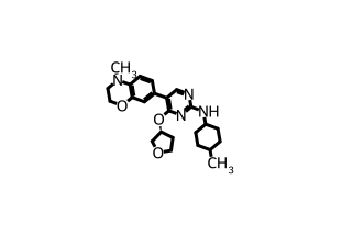 CC1CCC(Nc2ncc(-c3ccc4c(c3)OCCN4C)c(O[C@@H]3CCOC3)n2)CC1